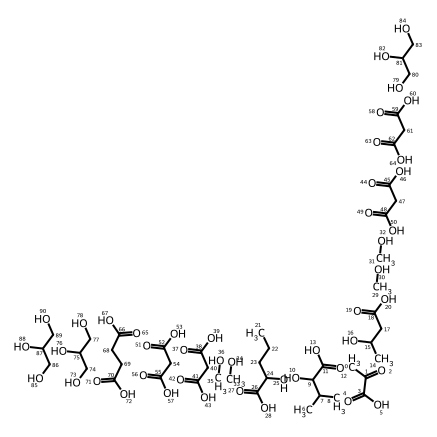 CC(=O)C(=O)O.CC(C)C(O)C(=O)O.CC(O)CC(=O)O.CCCC(O)C(=O)O.CO.CO.CO.CO.O=C(O)CC(=O)O.O=C(O)CC(=O)O.O=C(O)CC(=O)O.O=C(O)CC(=O)O.O=C(O)CCC(=O)O.OCC(O)CO.OCC(O)CO.OCC(O)CO